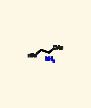 CCCCCCOC(C)=O.N